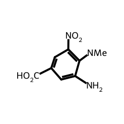 CNc1c(N)cc(C(=O)O)cc1[N+](=O)[O-]